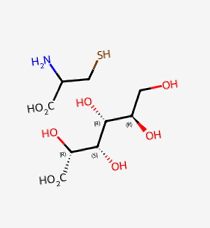 NC(CS)C(=O)O.O=C(O)[C@H](O)[C@@H](O)[C@H](O)[C@H](O)CO